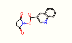 O=C(ON1C(=O)CCC1=O)c1cnc2ccccc2c1